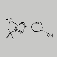 CC(C)(C)n1nc(C2CC[C@H](O)C2)cc1N